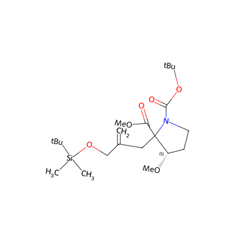 C=C(CO[Si](C)(C)C(C)(C)C)CC1(C(=O)OC)[C@@H](OC)CCN1C(=O)OC(C)(C)C